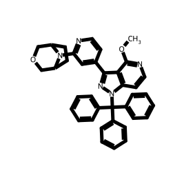 COc1nccc2c1c(-c1ccnc(N3C4CCC3COC4)c1)nn2C(c1ccccc1)(c1ccccc1)c1ccccc1